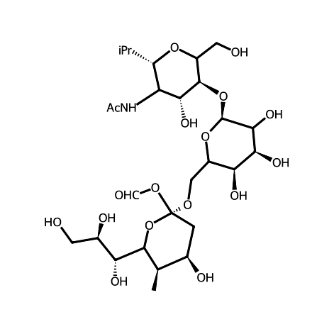 CC(=O)NC1[C@H](C(C)C)OC(CO)[C@@H](O[C@@H]2OC(CO[C@]3(OC=O)C[C@@H](O)[C@@H](C)C([C@H](O)[C@H](O)CO)O3)[C@H](O)[C@H](O)C2O)[C@@H]1O